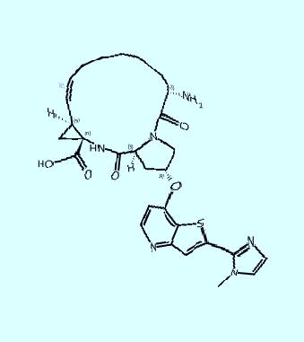 Cn1ccnc1-c1cc2nccc(O[C@@H]3C[C@H]4C(=O)N[C@]5(C(=O)O)C[C@H]5/C=C\CCCCC[C@H](N)C(=O)N4C3)c2s1